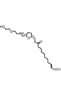 CCCCCCCCC=CCCCCCCCC(=O)OC[C@@H]1CC[C@H](CNCCOCCO)O1